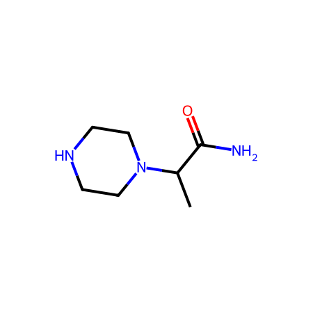 CC(C(N)=O)N1CCNCC1